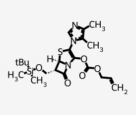 C=CCOC(=O)OC1=C(n2cnc(C)c2C)S[C@@H]2[C@@H](CO[Si](C)(C)C(C)(C)C)C(=O)N12